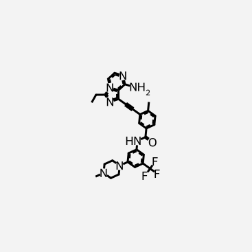 CCc1nc(C#Cc2cc(C(=O)Nc3cc(N4CCN(C)CC4)cc(C(F)(F)F)c3)ccc2C)c2c(N)nccn12